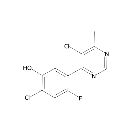 Cc1ncnc(-c2cc(O)c(Cl)cc2F)c1Cl